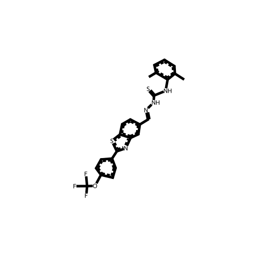 Cc1cccc(C)c1NC(=S)N/N=C/c1ccc2sc(-c3ccc(OC(F)(F)F)cc3)nc2c1